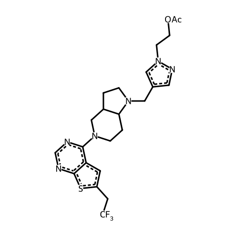 CC(=O)OCCn1cc(CN2CCC3CN(c4ncnc5sc(CC(F)(F)F)cc45)CCC32)cn1